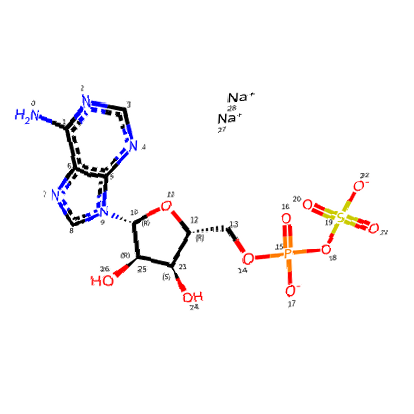 Nc1ncnc2c1ncn2[C@@H]1O[C@H](COP(=O)([O-])OS(=O)(=O)[O-])[C@@H](O)[C@H]1O.[Na+].[Na+]